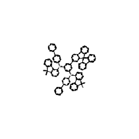 CC1(C)c2ccccc2-c2c(N(c3ccc(-c4ccccc4)cc3)c3cc(-c4ccc5c(c4)C4(c6ccccc6-c6ccccc64)c4ccccc4-5)cc(N(c4ccc(-c5ccccc5)cc4)c4cccc5c4-c4ccccc4C5(C)C)c3)cccc21